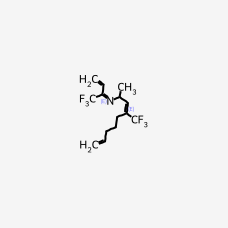 C=CCCC/C(=C\C(C)/N=C(\C=C)C(F)(F)F)C(F)(F)F